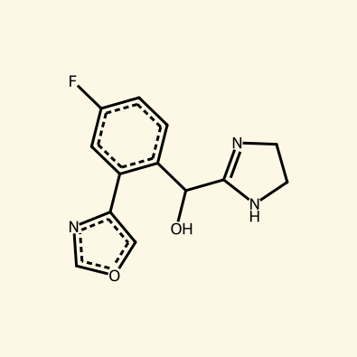 OC(C1=NCCN1)c1ccc(F)cc1-c1cocn1